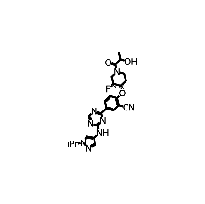 CC(O)C(=O)N1CC[C@H](Oc2ccc(-c3ncnc(Nc4cnn(C(C)C)c4)n3)cc2C#N)[C@H](F)C1